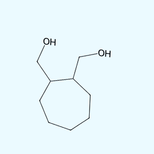 OCC1CCCCCC1CO